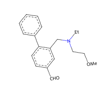 CCN(CCOC)Cc1cc(C=O)ccc1-c1ccccc1